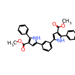 COC(=O)c1cc(-c2cccc(-c3cc(C(=O)OC)c(-c4ccccc4)[nH]3)c2)[nH]c1-c1ccccc1